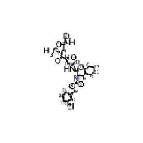 CCNC(=O)CN(C)C(=O)CC[C@@H](CO)NC(=O)/C(CC1CCCCC1)=N/C(=O)OCc1cccc(Cl)c1